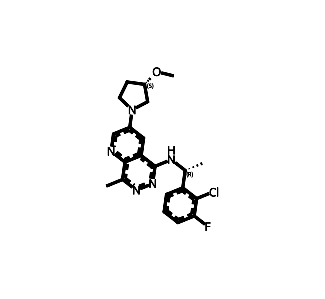 CO[C@H]1CCN(c2cnc3c(C)nnc(N[C@H](C)c4cccc(F)c4Cl)c3c2)C1